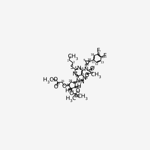 CCCSc1nc(N([C@@H]2C[C@H]2c2ccc(F)c(F)c2)S(C)(=O)=O)c2nnn([C@@H]3C[C@H](OCC(=O)OC)[C@H]4OC(C)(C)O[C@H]43)c2n1